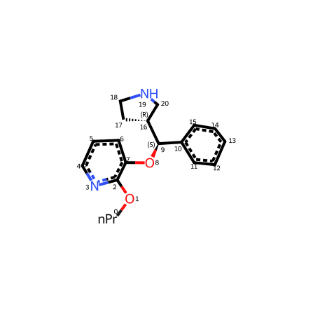 CCCOc1ncccc1O[C@H](c1ccccc1)[C@@H]1CCNC1